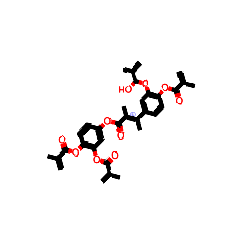 C=C(C)C(=O)Oc1ccc(OC(=O)/C(C)=C(\C)c2ccc(OC(=O)C(=C)C)c(OC(O)C(=C)C)c2)cc1OC(=O)C(=C)C